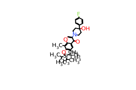 Cc1cc2c(=O)c(N3CCC(O)(c4ccc(F)cc4)CC3)coc2c(C)c1O[Si](C(C)C)(C(C)C)C(C)C